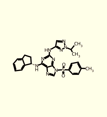 Cc1ccc(S(=O)(=O)n2cnc3c(N[C@H]4CCc5ccccc54)nc(Nc4cnn(C(C)C)n4)nc32)cc1